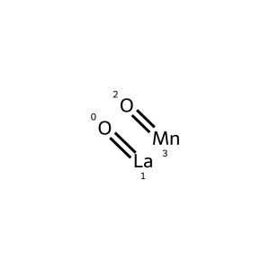 [O]=[La].[O]=[Mn]